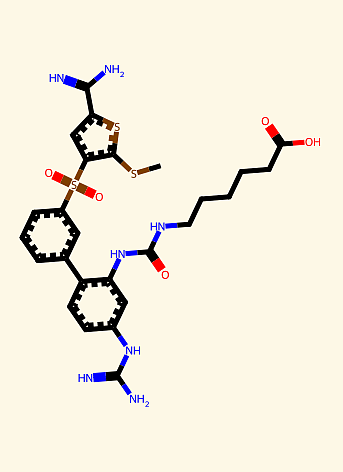 CSc1sc(C(=N)N)cc1S(=O)(=O)c1cccc(-c2ccc(NC(=N)N)cc2NC(=O)NCCCCCC(=O)O)c1